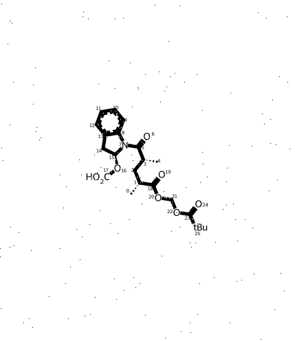 C[C@H](C[C@@H](C)C(=O)N1c2ccccc2C[C@@H]1OC(=O)O)C(=O)OCOC(=O)C(C)(C)C